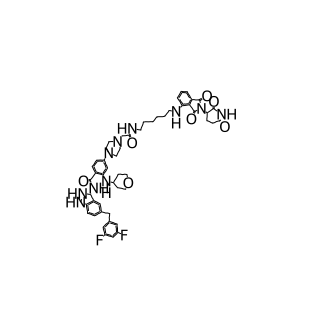 O=C(CN1CCN(c2ccc(C(=O)NC3NNc4ccc(Cc5cc(F)cc(F)c5)cc43)c(NC3CCOCC3)c2)CC1)NCCCCCCNc1cccc2c1C(=O)N(C1CCC(=O)NC1=O)C2=O